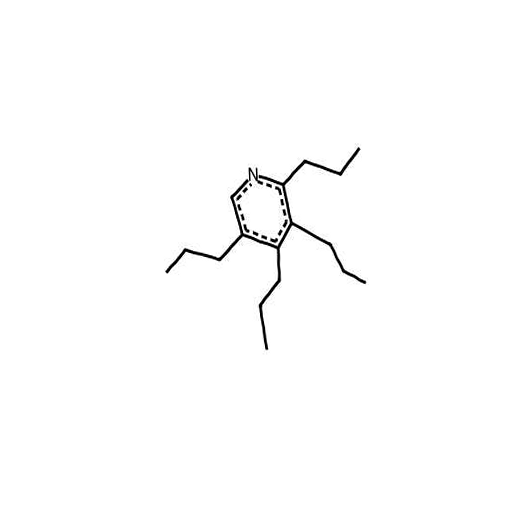 CCCc1cnc(CCC)c(CCC)c1CCC